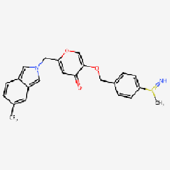 CS(=N)c1ccc(COc2coc(Cn3cc4ccc(C(F)(F)F)cc4c3)cc2=O)cc1